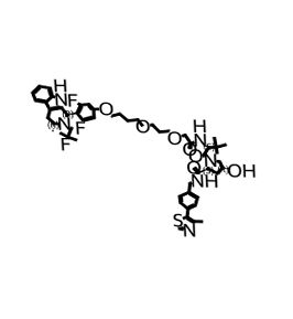 Cc1ncsc1-c1ccc(CNC(=O)[C@@H]2C[C@@H](O)CN2C(=O)[C@@H](NC(=O)COCCCOCCCCOc2cc(F)c([C@@H]3c4[nH]c5ccccc5c4C[C@@H](C)N3CC(C)(C)F)c(F)c2)C(C)(C)C)cc1